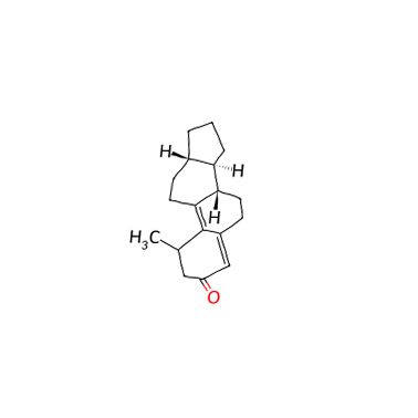 CC1CC(=O)C=C2CC[C@@H]3C(=C21)CC[C@@H]1CCC[C@H]13